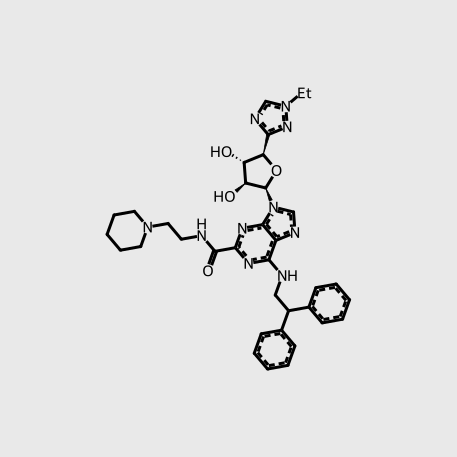 CCn1cnc([C@H]2O[C@@H](n3cnc4c(NCC(c5ccccc5)c5ccccc5)nc(C(=O)NCCN5CCCCC5)nc43)[C@@H](O)[C@@H]2O)n1